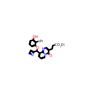 CCCc1c(O)cccc1OC(C1=CC=N1)c1cccn2c(=O)c(CCC(=O)OCC)cnc12